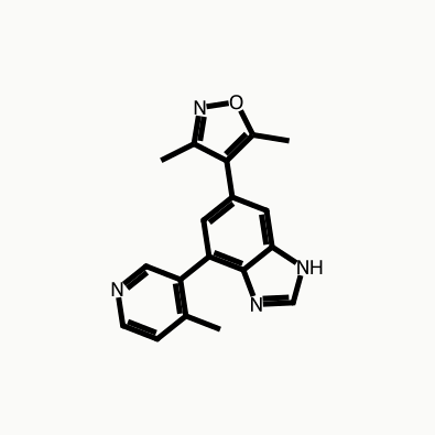 Cc1ccncc1-c1cc(-c2c(C)noc2C)cc2[nH]cnc12